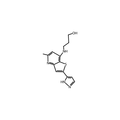 Cc1cc(NCCCO)c2sc(-c3ccn[nH]3)cc2n1